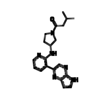 CC(C)CC(=O)N1CCC(Nc2ncccc2-c2cnc3[nH]ccc3n2)C1